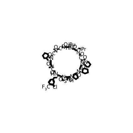 CC[C@H](C)[C@@H]1NC(=O)[C@H](CC(C)C)N(C)C(=O)C[C@@H](C(=O)N2CCCCC2)N(C)C(=O)[C@H](C2CCCCC2)N(C)C(=O)C2(CCCC2)NC(=O)[C@@H]2CSCN2C(=O)[C@H](CCc2ccc(C(F)(F)F)c(Cl)c2)NC(=O)CN(C)C(=O)[C@H](CC2CCCCC2)N(C)C(=O)CN(C)C(=O)CN(C)C1=O